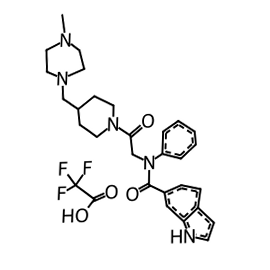 CN1CCN(CC2CCN(C(=O)CN(C(=O)c3ccc4cc[nH]c4c3)c3ccccc3)CC2)CC1.O=C(O)C(F)(F)F